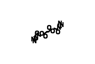 O=C(/C=C/C(=O)OCC(=O)n1cnnc1)OCC(=O)n1cnnc1